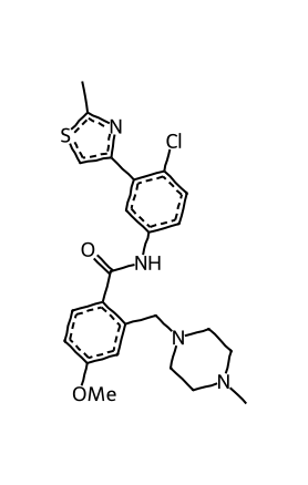 COc1ccc(C(=O)Nc2ccc(Cl)c(-c3csc(C)n3)c2)c(CN2CCN(C)CC2)c1